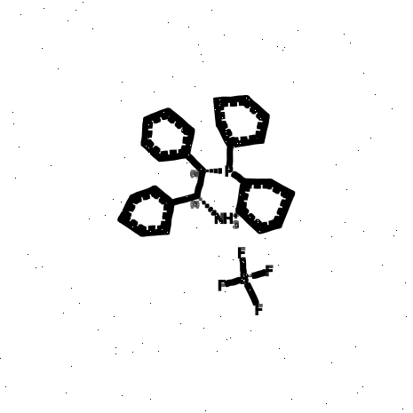 F[B-](F)(F)F.[NH3+][C@H](c1ccccc1)[C@H](c1ccccc1)P(c1ccccc1)c1ccccc1